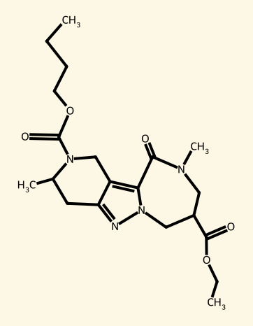 CCCCOC(=O)N1Cc2c(nn3c2C(=O)N(C)CC(C(=O)OCC)C3)CC1C